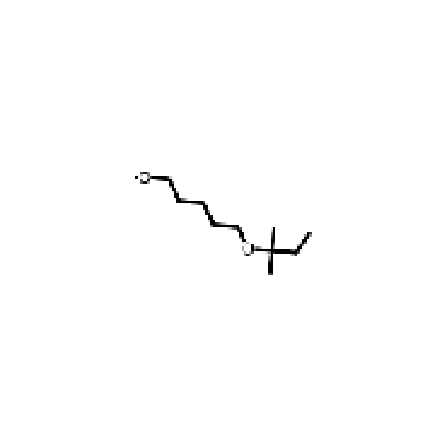 CCC(C)(C)OCCCCC[O]